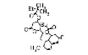 CC[C@H](C)C(=O)O[C@H]1C[C@@H](F)C=C2C=C[C@H](C)[C@H](CCC3C[C@@H](OC(=O)C(C)(C)CC)CC(=O)O3)C21